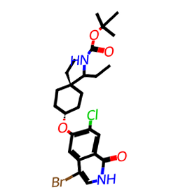 CCC(NC(=O)OC(C)(C)C)[C@]1(CC)CC[C@H](Oc2cc3c(Br)c[nH]c(=O)c3cc2Cl)CC1